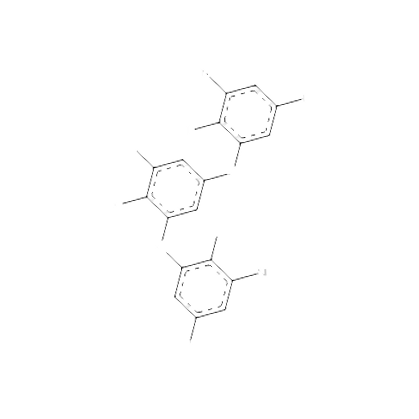 Nc1cc(F)cc(Oc2cc(F)c(C(F)(F)F)c(Oc3cc(F)cc(N)c3F)c2)c1F